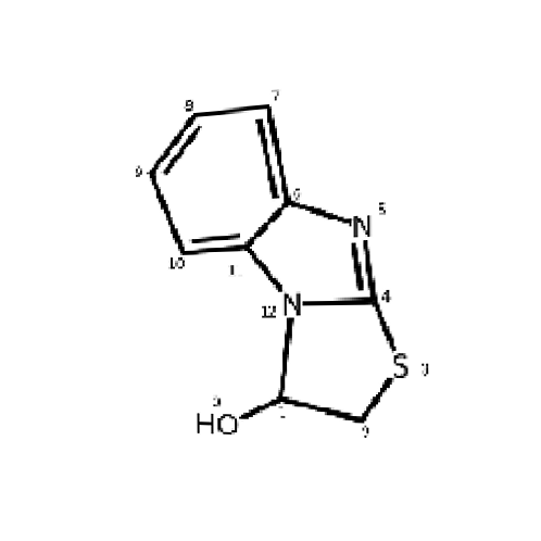 OC1CSc2nc3ccccc3n21